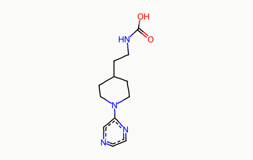 O=C(O)NCCC1CCN(c2cnccn2)CC1